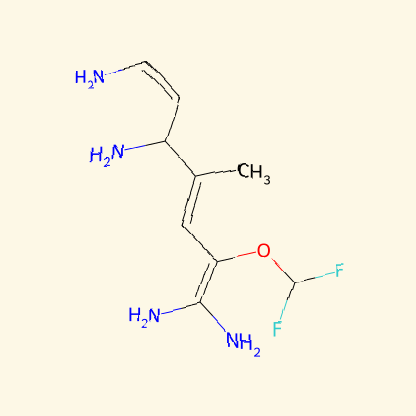 C/C(=C\C(OC(F)F)=C(N)N)C(N)/C=C\N